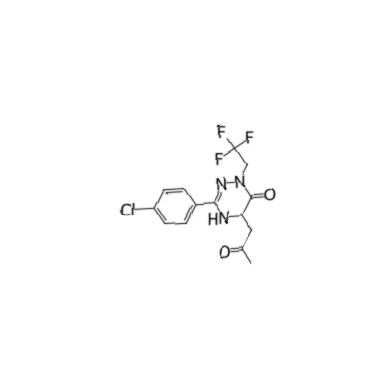 CC(=O)CC1NC(c2ccc(Cl)cc2)=NN(CC(F)(F)F)C1=O